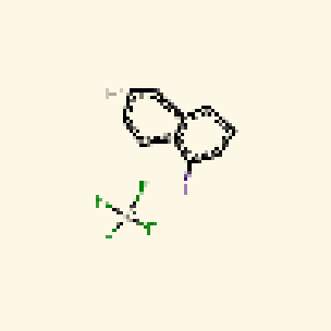 F[B-](F)(F)F.Ic1cccc2ccccc12.[H+]